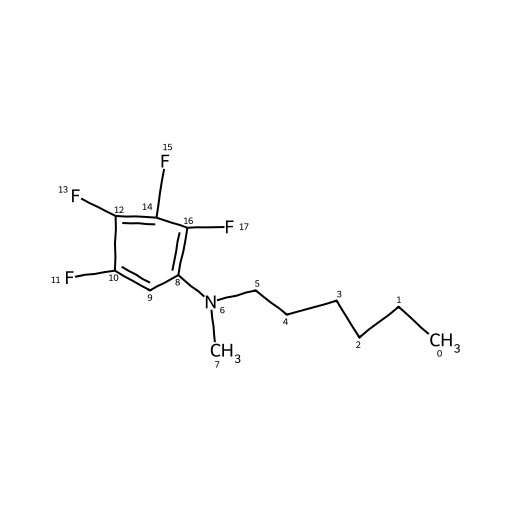 CCCCCCN(C)c1cc(F)c(F)c(F)c1F